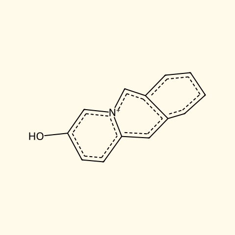 Oc1ccc2cc3ccccc3c[n+]2c1